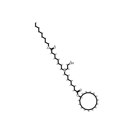 CCCCCCCCCOC(=O)CCCCCCCN(CCO)CCCCCCCC(=O)OC1CCCCCCCCCCCCCC1